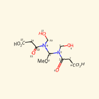 COC(N(CO)C(=O)CC(=O)O)N(CO)C(=O)CC(=O)O